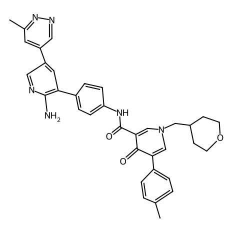 Cc1ccc(-c2cn(CC3CCOCC3)cc(C(=O)Nc3ccc(-c4cc(-c5cnnc(C)c5)cnc4N)cc3)c2=O)cc1